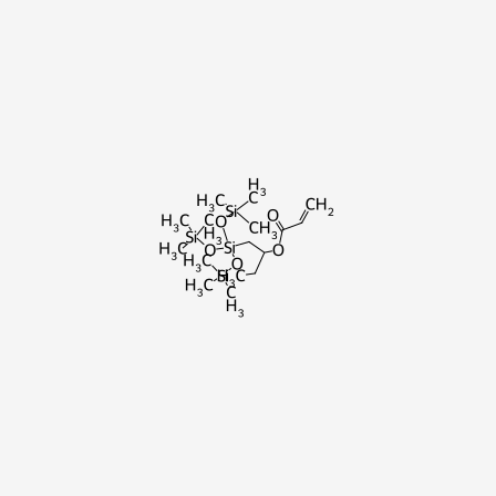 C=CC(=O)OC(CC)C[Si](O[Si](C)(C)C)(O[Si](C)(C)C)O[Si](C)(C)C